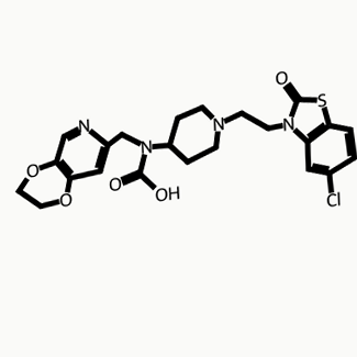 O=C(O)N(Cc1cc2c(cn1)OCCO2)C1CCN(CCn2c(=O)sc3ccc(Cl)cc32)CC1